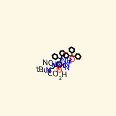 CC(C)(C)N(CCC(=CC#N)C(=O)Nc1cnn(CCOC(c2ccccc2)(c2ccccc2)c2ccccc2)c1NC(c1ccccc1)(c1ccccc1)c1ccccc1)C(=O)O